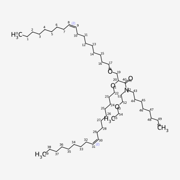 CCCCCCCC/C=C\CCCCCCCCOCC(OCCCCCCCC/C=C\CCCCCCCC)C(=O)N(CCCCCCCC)CCOCC